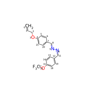 C=CCOc1ccc(/C=N/N=C\c2ccc(OC(F)(F)F)cc2)cc1